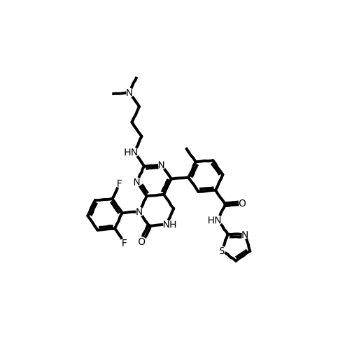 Cc1ccc(C(=O)Nc2nccs2)cc1-c1nc(NCCCN(C)C)nc2c1CNC(=O)N2c1c(F)cccc1F